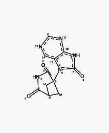 O=C1NC(=O)C2(n3c(=O)[nH]c4ncncc43)CC1C2